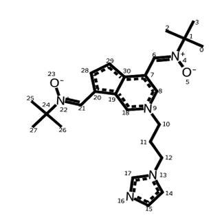 CC(C)(C)/[N+]([O-])=C/c1cn(CCCn2ccnc2)cc2c(/C=[N+](\[O-])C(C)(C)C)ccc1-2